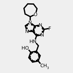 Cc1ccc(O)c(CNc2nc(F)nc3c2ncn3C2CCCCCO2)c1